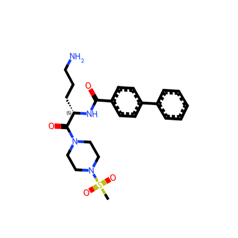 CS(=O)(=O)N1CCN(C(=O)[C@H](CCCN)NC(=O)c2ccc(-c3ccccc3)cc2)CC1